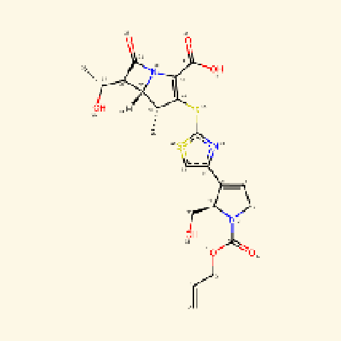 C=CCOC(=O)N1CC=C(c2csc(SC3=C(C(=O)O)N4C(=O)[C@H]([C@@H](C)O)[C@H]4[C@H]3C)n2)[C@@H]1CO